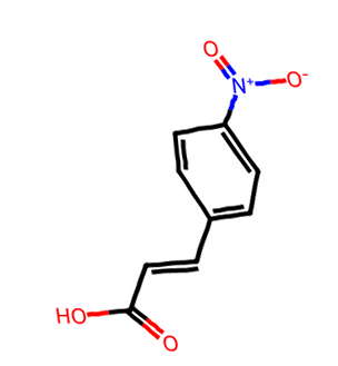 O=C(O)/C=C/c1ccc([N+](=O)[O-])cc1